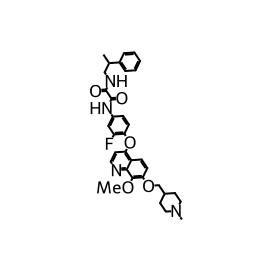 COc1c(OCC2CCN(C)CC2)ccc2c(Oc3ccc(NC(=O)C(=O)NCC(C)c4ccccc4)cc3F)ccnc12